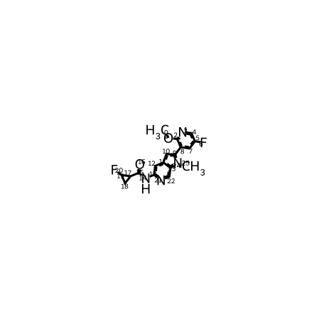 COc1ncc(F)cc1-c1cc2cc(NC(=O)C3CC3F)ncc2n1C